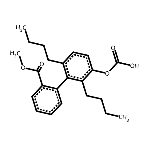 CCCCc1ccc(OC(=O)O)c(CCCC)c1-c1ccccc1C(=O)OC